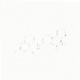 O=C(Cn1c(=O)[nH]c2ccccc2c1=O)N[C@H]1CCCc2cc(F)cc(F)c21